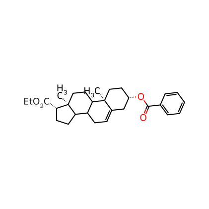 CCOC(=O)[C@H]1CCC2C3CC=C4C[C@@H](OC(=O)c5ccccc5)CC[C@]4(C)C3CC[C@@]21C